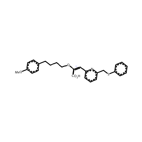 COc1ccc(CCCCO/C(=C/c2cccc(CSc3ccccc3)n2)C(=O)O)cc1